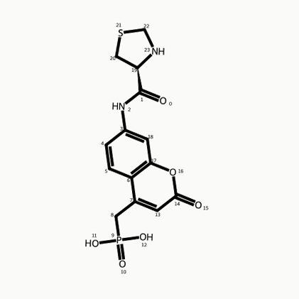 O=C(Nc1ccc2c(CP(=O)(O)O)cc(=O)oc2c1)[C@H]1CSCN1